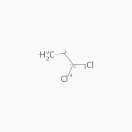 [CH2]C[C](Cl)Cl